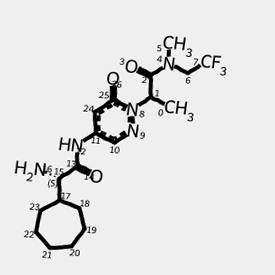 CC(C(=O)N(C)CC(F)(F)F)n1ncc(NC(=O)[C@@H](N)C2CCCCCC2)cc1=O